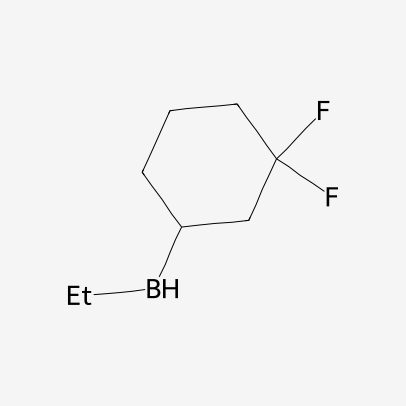 CCBC1CCCC(F)(F)C1